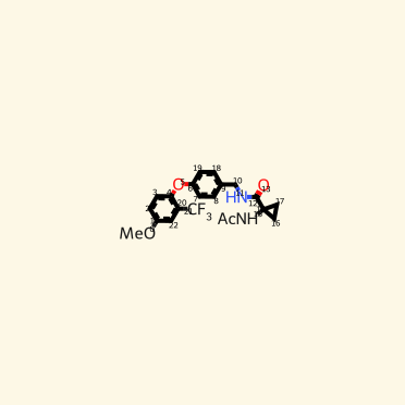 COc1ccc(Oc2ccc(CNC(=O)C3(NC(C)=O)CC3)cc2)c(C(F)(F)F)c1